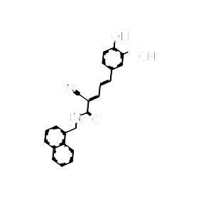 COc1cc(/C=C/C=C(\C#N)C(=O)NCc2cccc3ccccc23)ccc1O